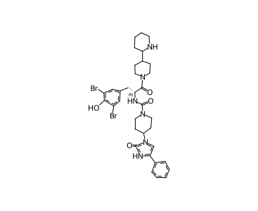 O=C(N[C@H](Cc1cc(Br)c(O)c(Br)c1)C(=O)N1CCC(C2CCCCN2)CC1)N1CCC(n2cc(-c3ccccc3)[nH]c2=O)CC1